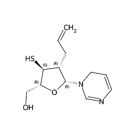 C=CC[C@H]1[C@H](S)[C@@H](CO)O[C@H]1N1C=NC=CC1